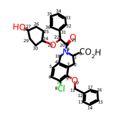 O=C(O)C1Cc2c(ccc(Cl)c2OCc2ccccc2)CN1C(=O)C(OC1CCC(O)CC1)c1ccccc1